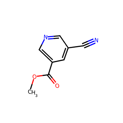 COC(=O)c1cncc(C#N)c1